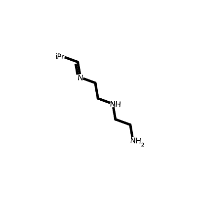 CC(C)C=NCCNCCN